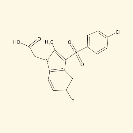 Cc1c(S(=O)(=O)c2ccc(Cl)cc2)c2c(n1CC(=O)O)C=CC(F)C2